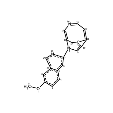 COc1ccc2cc(N3C=C/C4=C/C=N\C=C\3CC4)ncc2c1